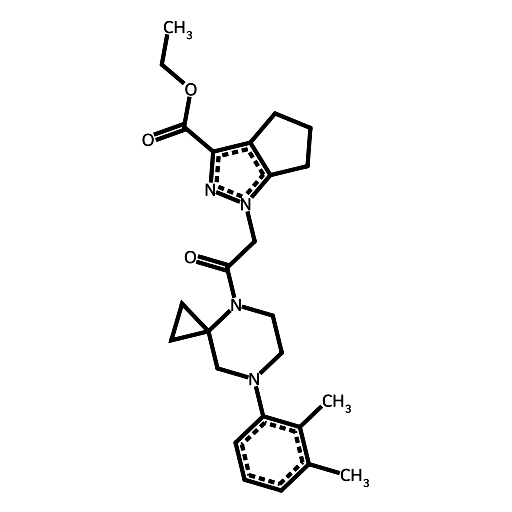 CCOC(=O)c1nn(CC(=O)N2CCN(c3cccc(C)c3C)CC23CC3)c2c1CCC2